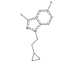 Fc1ccc2c(c1)c(I)nn2CCC1CC1